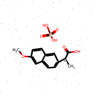 COc1ccc2cc([C@H](C)C(=O)O)ccc2c1.O=S(=O)(O)O